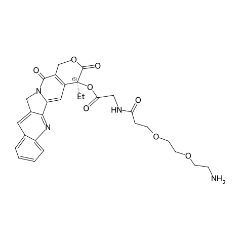 CC[C@@]1(OC(=O)CNC(=O)CCOCCOCCN)C(=O)OCc2c1cc1n(c2=O)Cc2cc3ccccc3nc2-1